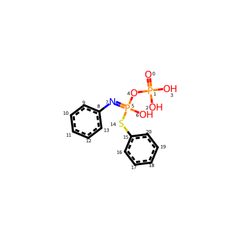 O=P(O)(O)OP(O)(=Nc1ccccc1)Sc1ccccc1